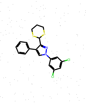 Clc1cc(Cl)cc(-n2cc(-c3ccccc3)c(C3SCCCS3)n2)c1